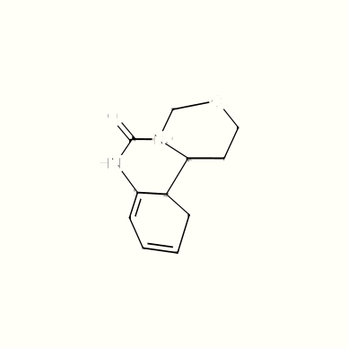 O=C1NC2=CC=CCC2C2CCOCN12